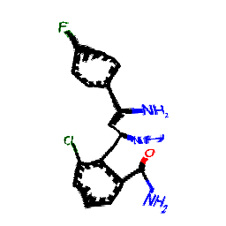 N=C(/C=C(\N)c1ccc(F)cc1)c1c(Cl)cccc1C(N)=O